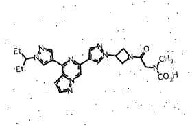 CCC(CC)n1cc(-c2nc(-c3cnn(C4CN(C(=O)CN(C)C(=O)O)C4)c3)cn3nccc23)cn1